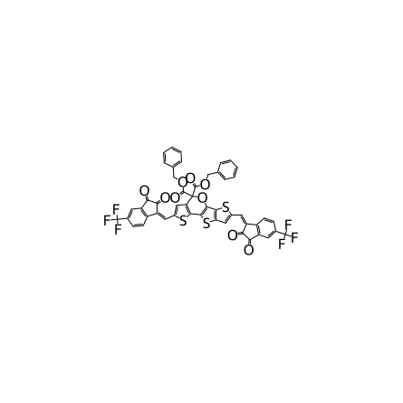 O=C1C(=O)c2cc(C(F)(F)F)ccc2/C1=C/c1cc2c(s1)-c1sc3cc(/C=C4\C(=O)C(=O)c5cc(C(F)(F)F)ccc54)sc3c1OC2(C(=O)OCc1ccccc1)C(=O)OCc1ccccc1